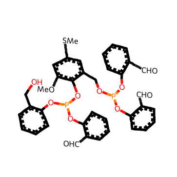 COc1cc(SC)cc(COP(Oc2ccccc2C=O)Oc2ccccc2C=O)c1OP(Oc1ccccc1C=O)Oc1ccccc1CO